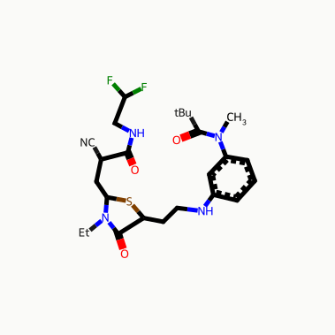 CCN1C(=O)C(CCNc2cccc(N(C)C(=O)C(C)(C)C)c2)SC1CC(C#N)C(=O)NCC(F)F